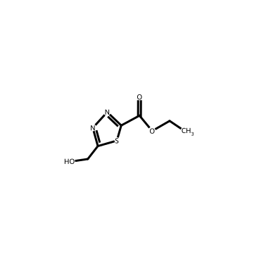 CCOC(=O)c1nnc(CO)s1